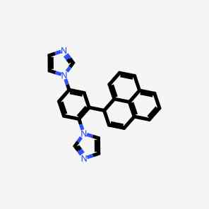 C1=CC(c2cc(-n3ccnc3)ccc2-n2ccnc2)c2cccc3cccc1c23